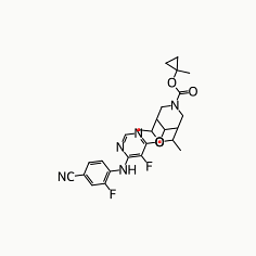 CC1OC(C)C2CN(C(=O)OC3(C)CC3)CC1C2Oc1ncnc(Nc2ccc(C#N)cc2F)c1F